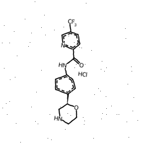 Cl.O=C(Nc1ccc([C@@H]2CNCCO2)cc1)c1ccc(C(F)(F)F)cn1